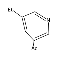 CCc1cncc(C(C)=O)c1